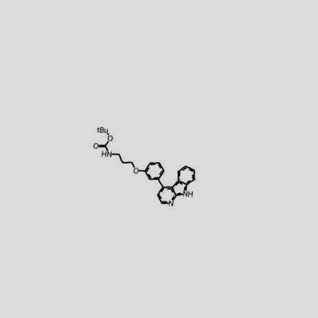 CC(C)(C)OC(=O)NCCCOc1cccc(-c2ccnc3[nH]c4ccccc4c23)c1